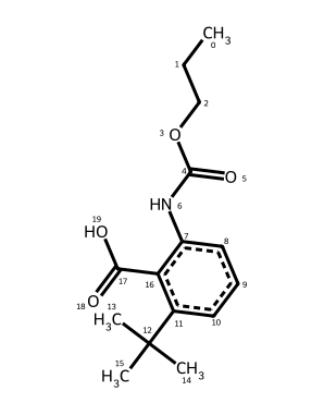 CCCOC(=O)Nc1cccc(C(C)(C)C)c1C(=O)O